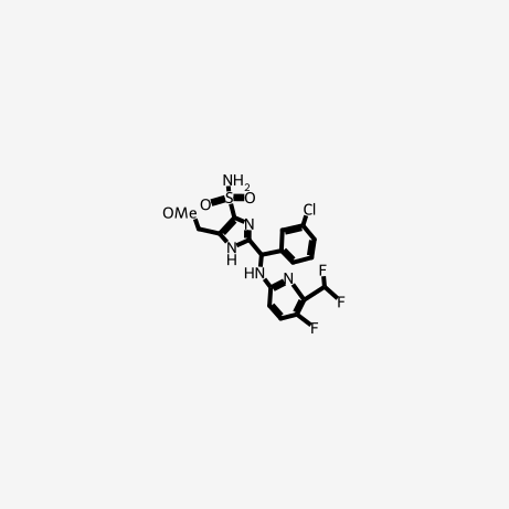 COCc1[nH]c(C(Nc2ccc(F)c(C(F)F)n2)c2cccc(Cl)c2)nc1S(N)(=O)=O